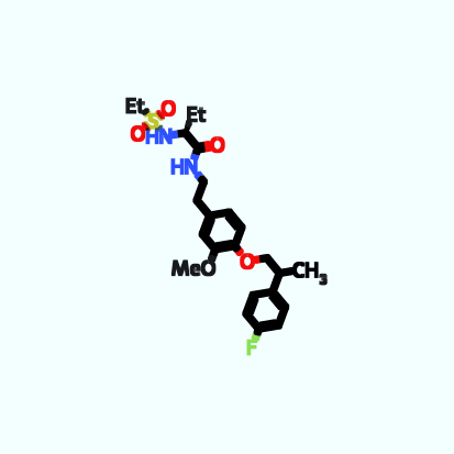 CC[C@H](NS(=O)(=O)CC)C(=O)NCCc1ccc(OCC(C)c2ccc(F)cc2)c(OC)c1